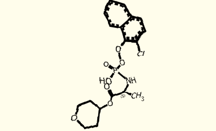 C[C@H](NP(=O)(O)OOc1c(Cl)ccc2ccccc12)C(=O)OC1CCOCC1